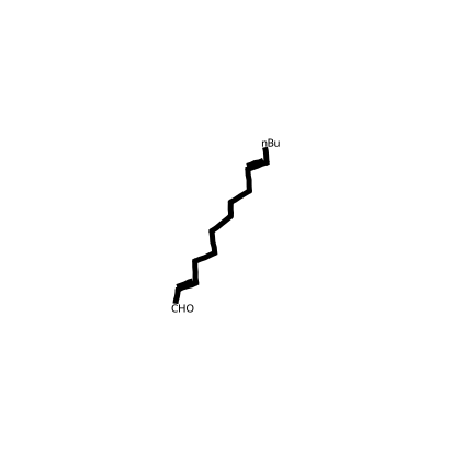 CCCCC=CCCCCCCC=CC=O